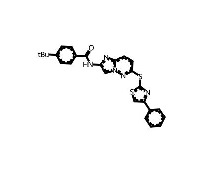 CC(C)(C)c1ccc(C(=O)Nc2cn3nc(Sc4nc(-c5ccccc5)cs4)ccc3n2)cc1